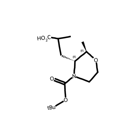 CC(C[C@@H]1[C@@H](C)OCCN1C(=O)OC(C)(C)C)C(=O)O